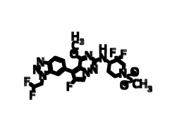 COc1nc(N[C@@H]2CCN(S(C)(=O)=O)CC2(F)F)nn2cc(F)c(-c3ccc4nnn(CC(F)F)c4c3)c12